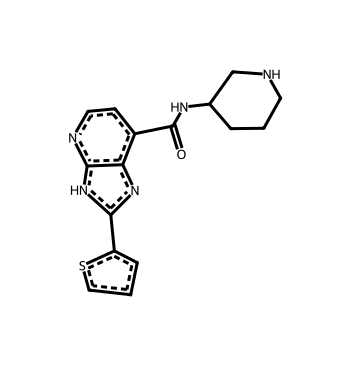 O=C(NC1CCCNC1)c1ccnc2[nH]c(-c3cccs3)nc12